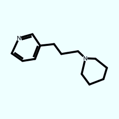 c1cncc(CCCN2CCCCC2)c1